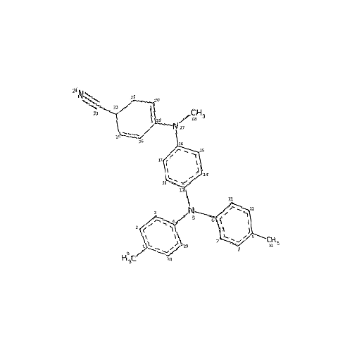 Cc1ccc(N(c2ccc(C)cc2)c2ccc(N(C)C3=CCC(C#N)C=C3)cc2)cc1